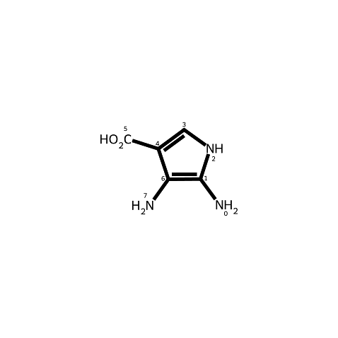 Nc1[nH]cc(C(=O)O)c1N